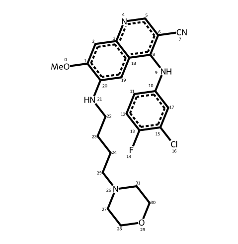 COc1cc2ncc(C#N)c(Nc3ccc(F)c(Cl)c3)c2cc1NCCCCN1CCOCC1